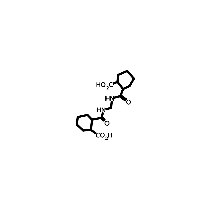 O=C(O)C1CCCCC1C(=O)NCNC(=O)C1CCCCC1C(=O)O